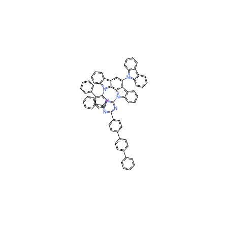 c1ccc(-c2ccc(-c3ccc(-c4nc(-c5ccccc5)nc(-n5c6ccccc6c6c(-n7c8ccccc8c8ccccc87)cc7c8ccccc8n(-c8ccccc8-c8ccccc8)c7c65)n4)cc3)cc2)cc1